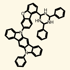 c1ccc(C2NC(c3ccccc3)NC(c3cccc4oc5cc(-n6c7ccccc7c7cc8c(cc76)c6ccccc6n8-c6ccccc6)ccc5c34)N2)cc1